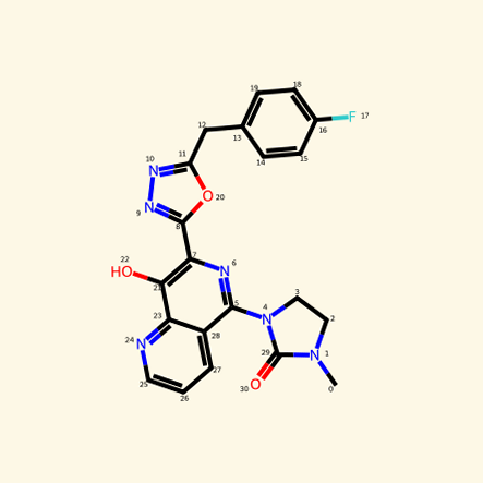 CN1CCN(c2nc(-c3nnc(Cc4ccc(F)cc4)o3)c(O)c3ncccc23)C1=O